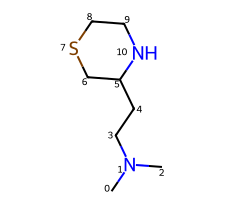 CN(C)CCC1CSCCN1